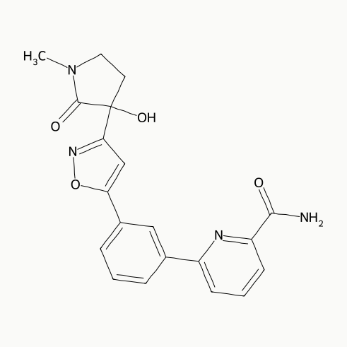 CN1CCC(O)(c2cc(-c3cccc(-c4cccc(C(N)=O)n4)c3)on2)C1=O